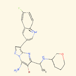 CC(NC1CCCOC1)c1nc2c(-c3cnc4ccc(F)cc4c3)cnn2c(N)c1Br